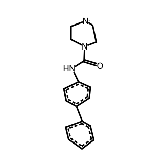 O=C(Nc1ccc(-c2ccccc2)cc1)N1CC[N]CC1